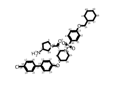 N[C@H]1CCN(C(=O)[C@H]2C[C@@H](Oc3ccc(-c4ccc(Cl)cc4)cc3)CCN2S(=O)(=O)c2ccc(OCC3CCCCC3)cc2)C1